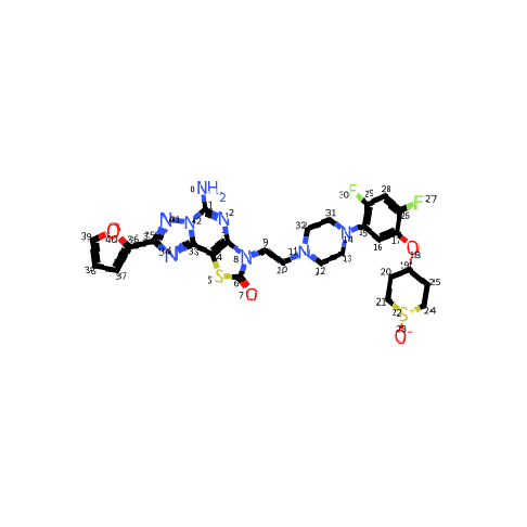 Nc1nc2c(sc(=O)n2CCN2CCN(c3cc(O[C@H]4CC[S@+]([O-])CC4)c(F)cc3F)CC2)c2nc(-c3ccco3)nn12